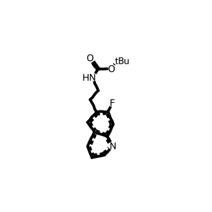 CC(C)(C)OC(=O)NCCc1cc2cccnc2cc1F